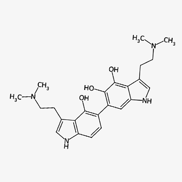 CN(C)CCc1c[nH]c2ccc(-c3cc4[nH]cc(CCN(C)C)c4c(O)c3O)c(O)c12